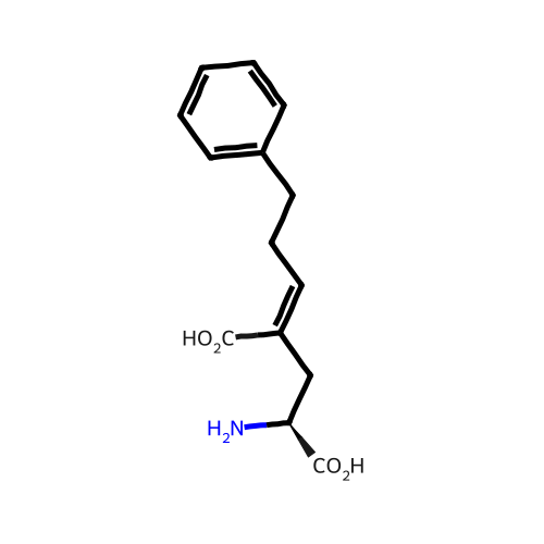 N[C@@H](C/C(=C/CCc1ccccc1)C(=O)O)C(=O)O